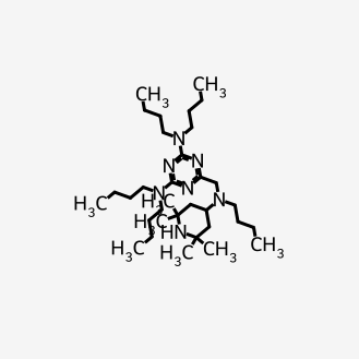 CCCCN(CCCC)c1nc(CN(CCCC)C2CC(C)(C)NC(C)(C)C2)nc(N(CCCC)CCCC)n1